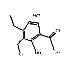 CCc1ccc(C(=O)O)c(N)c1CCl.Cl